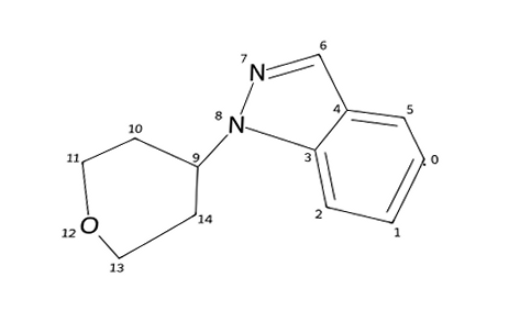 [c]1ccc2c(c1)cnn2C1CCOCC1